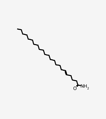 CCCCCCCCCCCCCCCCC/C=C/CCCC(N)=O